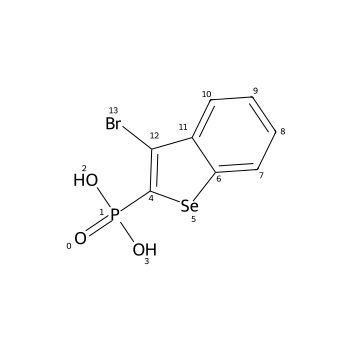 O=P(O)(O)c1[se]c2ccccc2c1Br